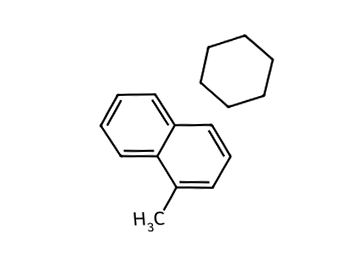 C1CCCCC1.Cc1cccc2ccccc12